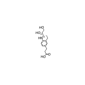 O=C(O)CCc1ccc2c(c1)CC[C@@H]([C@H](O)CO)N2